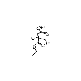 CCOC(=O)C(CC)(CC(=O)O)CC(C)C